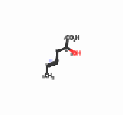 C/C=C/CC(O)C(=O)O